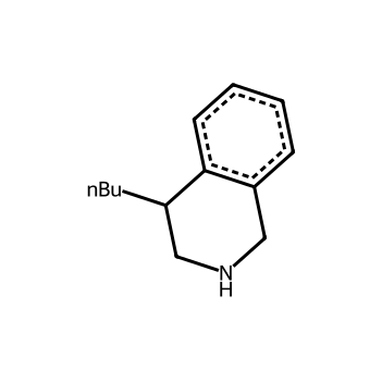 CCCCC1CNCc2ccccc21